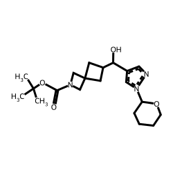 CC(C)(C)OC(=O)N1CC2(CC(C(O)c3cnn(C4CCCCO4)c3)C2)C1